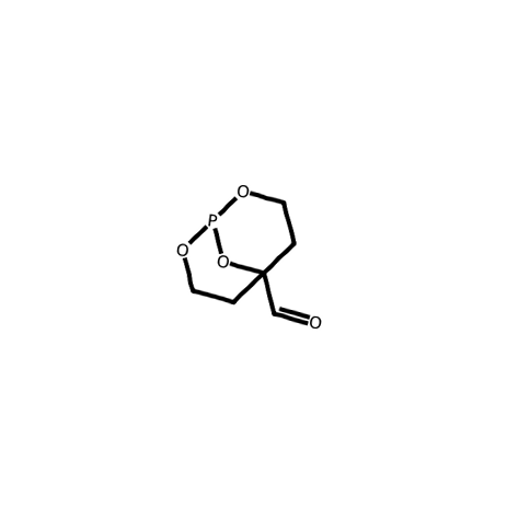 O=CC12CCOP(OCC1)O2